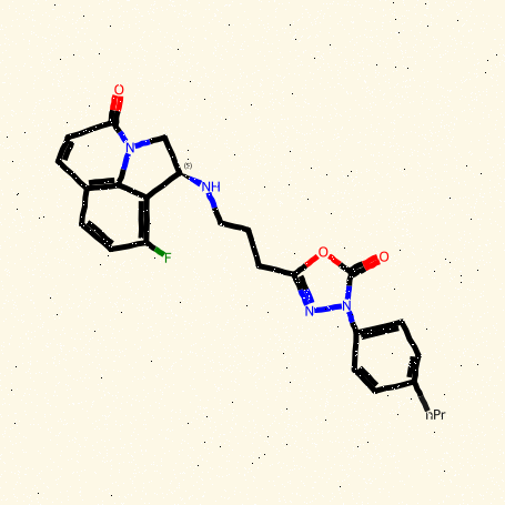 CCCc1ccc(-n2nc(CCCN[C@@H]3Cn4c(=O)ccc5ccc(F)c3c54)oc2=O)cc1